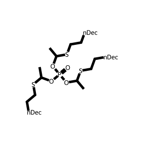 CCCCCCCCCCCCSC(C)OP(=O)(OC(C)SCCCCCCCCCCCC)OC(C)SCCCCCCCCCCCC